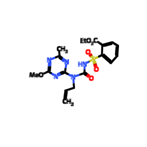 C=CCN(C(=O)NS(=O)(=O)c1ccccc1C(=O)OCC)c1nc(C)nc(OC)n1